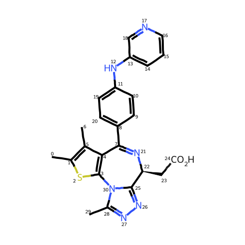 Cc1sc2c(c1C)C(c1ccc(Nc3cccnc3)cc1)=N[C@@H](CC(=O)O)c1nnc(C)n1-2